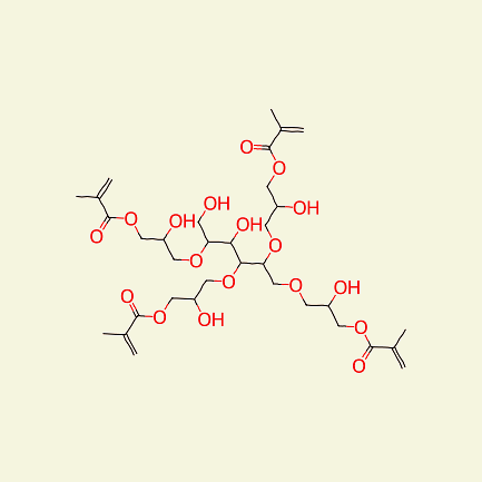 C=C(C)C(=O)OCC(O)COCC(OCC(O)COC(=O)C(=C)C)C(OCC(O)COC(=O)C(=C)C)C(O)C(CO)OCC(O)COC(=O)C(=C)C